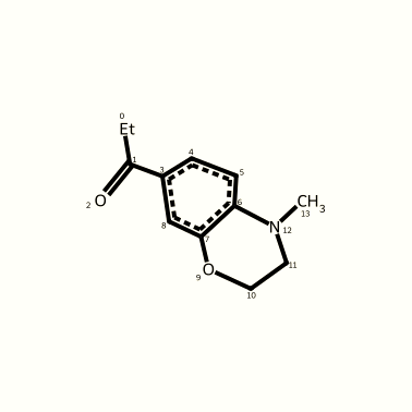 CCC(=O)c1ccc2c(c1)OCCN2C